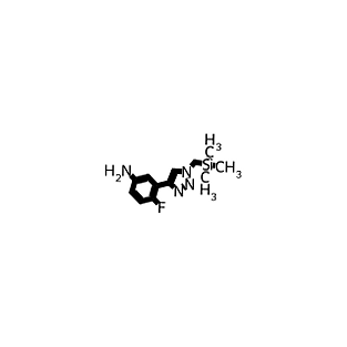 C[Si](C)(C)Cn1cc(-c2cc(N)ccc2F)nn1